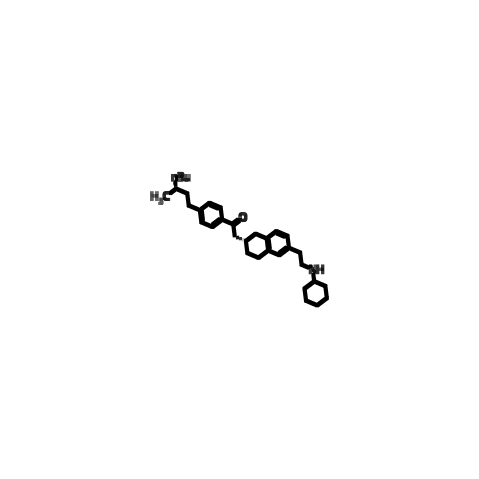 CCCC[C@H](C)CCc1ccc(C(=O)C[C@H]2CCc3cc(CCNC4CCCCC4)ccc3C2)cc1